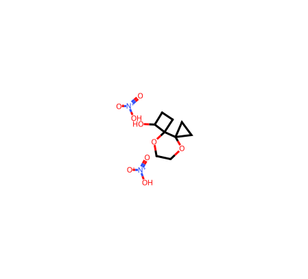 O=[N+]([O-])O.O=[N+]([O-])O.OC1CCC12OCCOC21CC1